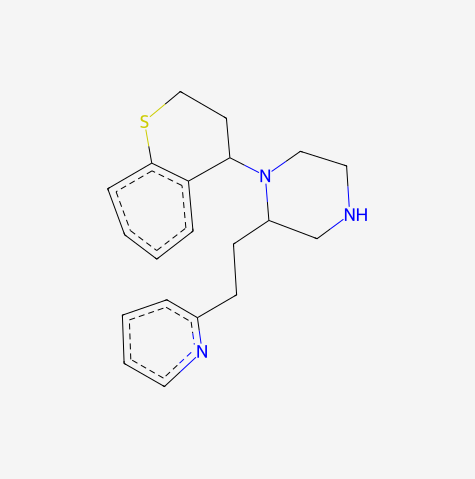 c1ccc(CCC2CNCCN2C2CCSc3ccccc32)nc1